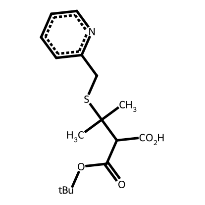 CC(C)(C)OC(=O)C(C(=O)O)C(C)(C)SCc1ccccn1